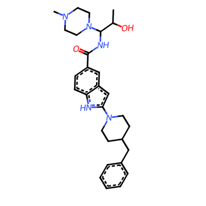 CC(O)C(NC(=O)c1ccc2[nH]c(N3CCC(Cc4ccccc4)CC3)cc2c1)N1CCN(C)CC1